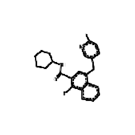 Cc1ccc(Cc2cc(C(=O)NC3CCCCC3)c(F)c3ccccc23)cn1